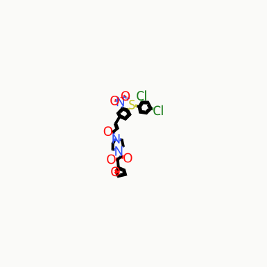 O=C(C(=O)N1CCN(C(=O)C=Cc2ccc(Sc3ccc(Cl)cc3Cl)c([N+](=O)[O-])c2)CC1)c1ccco1